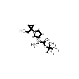 CN(C(=O)OC(C)(C)C)[C@H]1CCN(C2(CO)CC2)C1